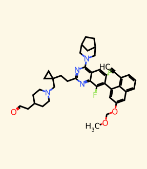 C#Cc1cccc2cc(OCOC)cc(-c3c(F)cc4c(N5CC6CCC(C6)C5)nc(CCC5(CN6CCC(CC=O)CC6)CC5)nc4c3F)c12